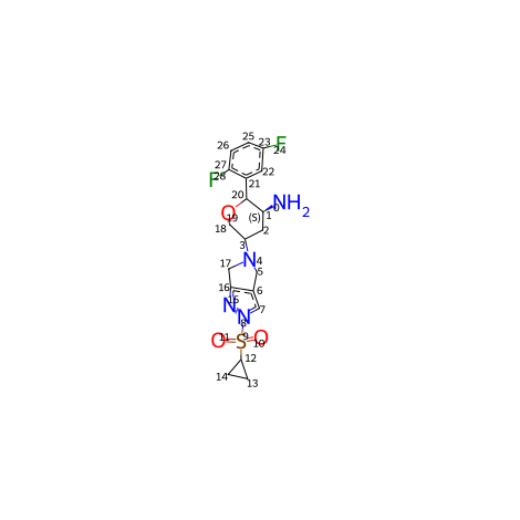 N[C@H]1CC(N2Cc3cn(S(=O)(=O)C4CC4)nc3C2)COC1c1cc(F)ccc1F